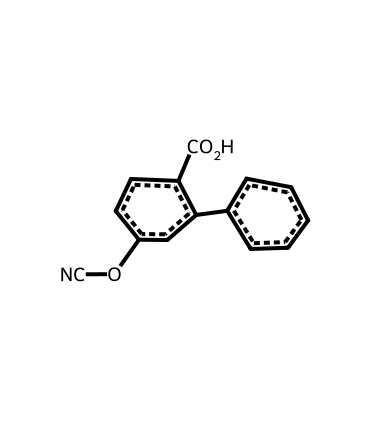 N#COc1ccc(C(=O)O)c(-c2ccccc2)c1